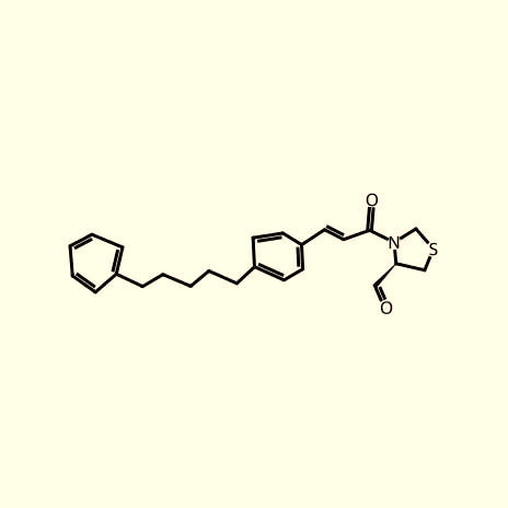 O=C[C@@H]1CSCN1C(=O)C=Cc1ccc(CCCCCc2ccccc2)cc1